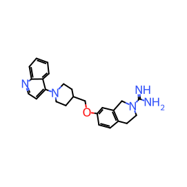 N=C(N)N1CCc2ccc(OCC3CCN(c4ccnc5ccccc45)CC3)cc2C1